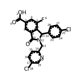 O=C(O)c1cc(F)c2c(c1)C(=O)N(Cc1ccc(Cl)cn1)C2c1ccc(Cl)cc1